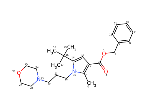 Cc1c(C(=O)OCc2ccccc2)cc(C(C)(C)C)n1CCCN1CCOCC1